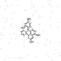 O=C(O)CC(c1ccccc1)c1cc(O)ccc1Sc1ccc(O)cc1O